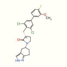 COc1cc(-c2cc(Cl)c(C[C@@H]3CCN(C4CCc5n[nH]cc5C4)C3=O)c(Cl)c2)ccc1F